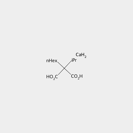 CCCCCCC(C(=O)O)(C(=O)O)C(C)C.[CaH2]